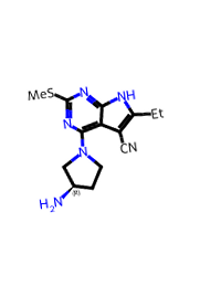 CCc1[nH]c2nc(SC)nc(N3CC[C@@H](N)C3)c2c1C#N